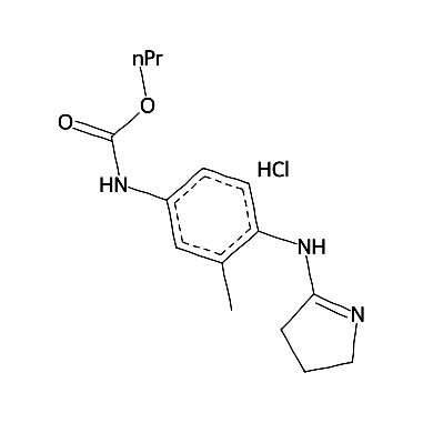 CCCOC(=O)Nc1ccc(NC2=NCCC2)c(C)c1.Cl